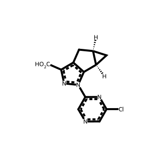 O=C(O)c1nn(-c2cncc(Cl)n2)c2c1C[C@H]1C[C@@H]21